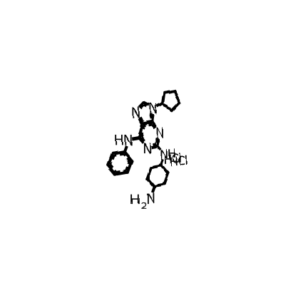 Cl.Cl.NC1CCC(Nc2nc(Nc3ccccc3)c3ncn(C4CCCC4)c3n2)CC1